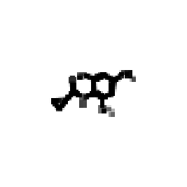 Cc1cc(N)c(NC(=O)C2CC2)c(Br)c1